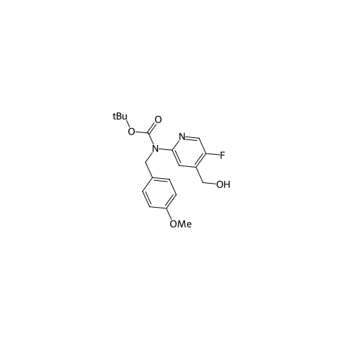 COc1ccc(CN(C(=O)OC(C)(C)C)c2cc(CO)c(F)cn2)cc1